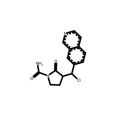 NC(=O)N1CC[C](C(Cl)c2ccc3ccncc3c2)C1=O